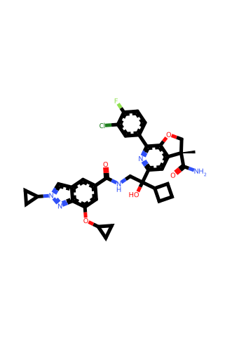 C[C@]1(C(N)=O)COc2c1cc(C(O)(CNC(=O)c1cc(OC3CC3)c3nn(C4CC4)cc3c1)C1CCC1)nc2-c1ccc(F)c(Cl)c1